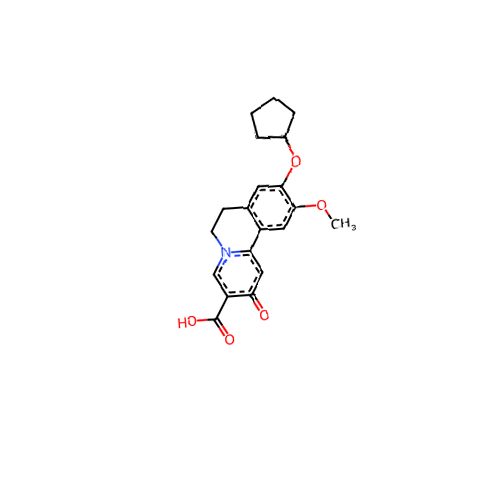 COc1cc2c(cc1OC1CCCC1)CCn1cc(C(=O)O)c(=O)cc1-2